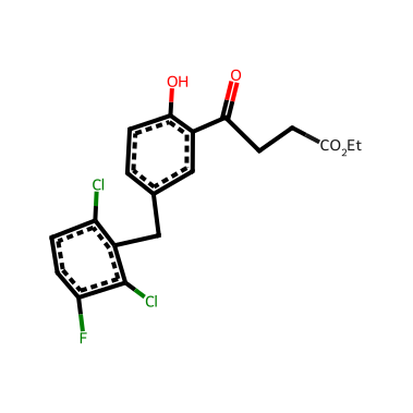 CCOC(=O)CCC(=O)c1cc(Cc2c(Cl)ccc(F)c2Cl)ccc1O